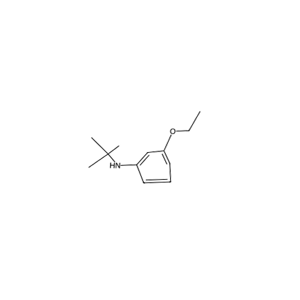 CCOc1cccc(NC(C)(C)C)c1